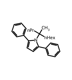 CCCCCCC(C)(CCC)n1c(-c2ccccc2)ccc1-c1ccccc1